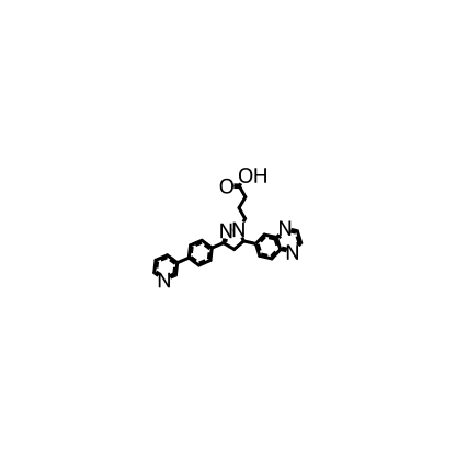 O=C(O)CCCN1N=C(c2ccc(-c3cccnc3)cc2)CC1c1ccc2nccnc2c1